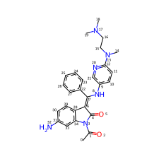 CC(=O)N1C(=O)/C(=C(\Nc2ccc(N(C)CCN(C)C)nc2)c2ccccc2)c2ccc(N)cc21